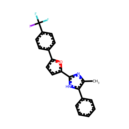 Cc1nc(-c2ccc(-c3ccc(C(F)(F)I)cc3)o2)[nH]c1-c1ccccc1